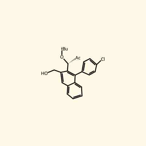 CC(=O)[C@@H](OC(C)(C)C)c1c(CO)cc2ccccc2c1-c1ccc(Cl)cc1